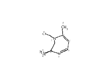 CC1=CC=NC(N)N1Cl